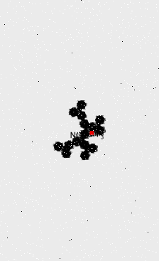 C[C@@H]1c2c(c3cc(C4=CCC5C(=C4)c4ccccc4N5c4ccccc4)ccc3n2-c2cc(C#N)c(-n3c4ccc(-c5ccc6c(c5)c5ccccc5n6-c5ccccc5)cc4c4cc5c(cc43)c3ccccc3n5-c3ccccc3)cc2C#N)C=C2C1c1ccccc1N2c1ccccc1